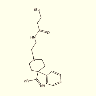 CCCC(=N)C1(c2ccccc2)CCN(CCNC(=O)CCC(C)(C)C)CC1